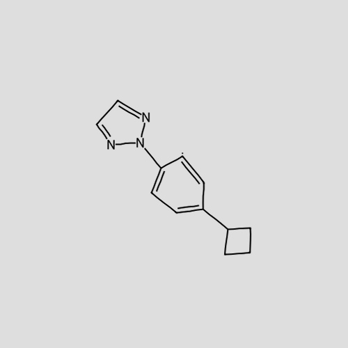 [c]1cc(C2CCC2)ccc1-n1nccn1